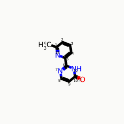 Cc1cccc(-c2nccc(=O)[nH]2)n1